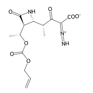 C=CCOC(=O)O[C@H](C)[C@H]1C(=O)N[C@@H]1[C@@H](C)C(=O)C(=[N+]=N)C(=O)[O-]